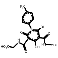 CCCCNC(=O)c1c(O)c(C(=O)NCC(=O)O)c(=O)n(-c2ccc(C(F)(F)F)cc2)c1O